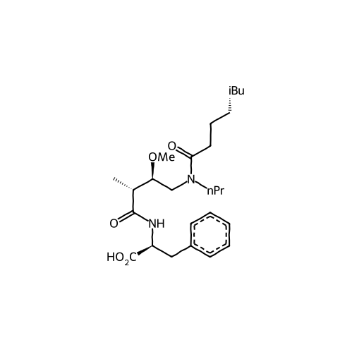 CCCN(C[C@H](OC)[C@@H](C)C(=O)N[C@@H](Cc1ccccc1)C(=O)O)C(=O)CCC[C@@H](C)CC